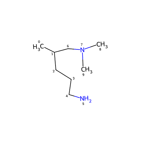 CC(CCCN)CN(C)C